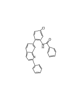 O=C(Nc1cc(Cl)ccc1-c1ccc2ccc(-c3ccccc3)nc2c1)c1ccccc1